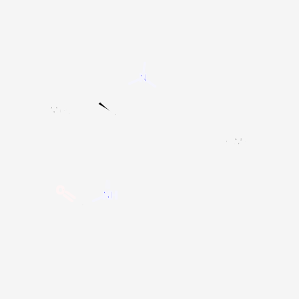 C=CCN1CC[C@@]2(c3cccc(OC)c3)C[C@H](NC(=O)c3ccccc3)CC(OC)[C@@H]2C1